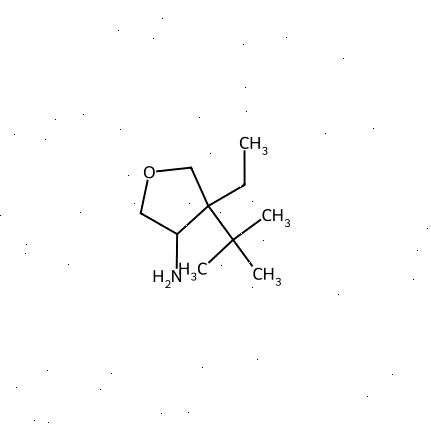 CCC1(C(C)(C)C)COCC1N